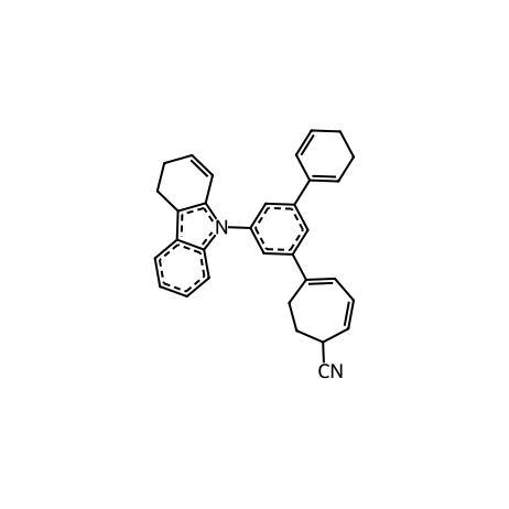 N#CC1C=CC=C(c2cc(C3=CCCC=C3)cc(-n3c4c(c5ccccc53)CCC=C4)c2)CC1